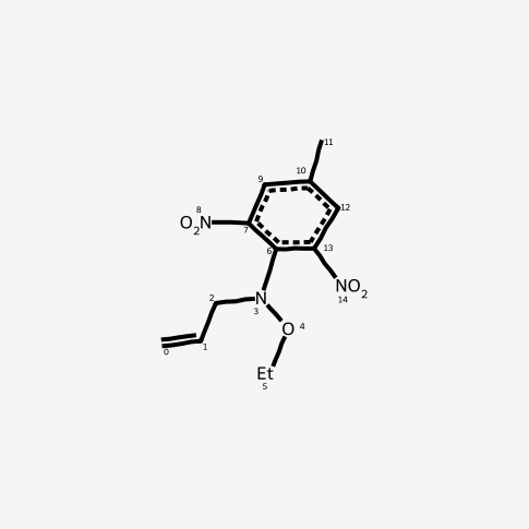 C=CCN(OCC)c1c([N+](=O)[O-])cc(C)cc1[N+](=O)[O-]